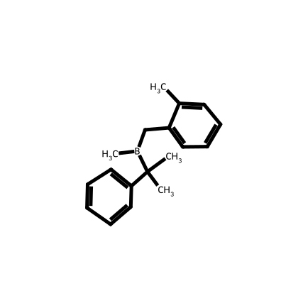 CB(Cc1ccccc1C)C(C)(C)c1ccccc1